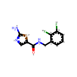 Nc1ncc(C(=O)NCc2cccc(F)c2F)s1